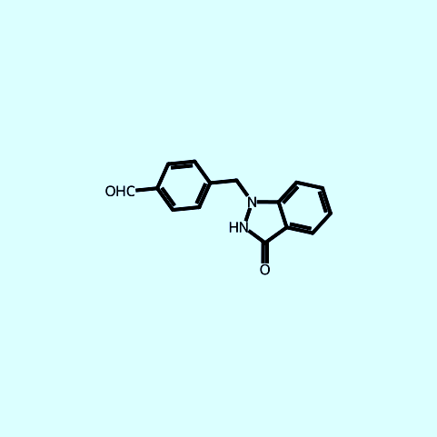 O=Cc1ccc(Cn2[nH]c(=O)c3ccccc32)cc1